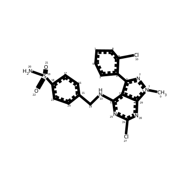 Cn1nc(-c2ccccc2Cl)c2c(NCc3ccc(S(N)(=O)=O)cc3)nc(Cl)nc21